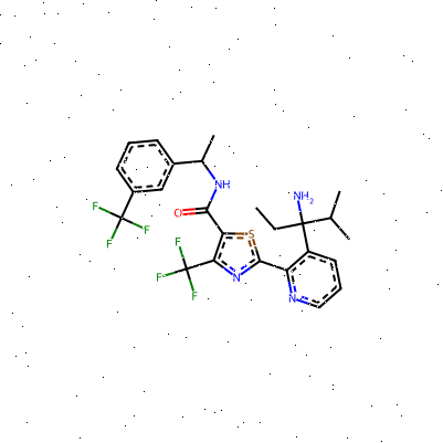 CCC(N)(c1cccnc1-c1nc(C(F)(F)F)c(C(=O)NC(C)c2cccc(C(F)(F)F)c2)s1)C(C)C